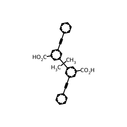 CC(C)(c1cc(C#Cc2ccccc2)cc(C(=O)O)c1)c1cc(C#Cc2ccccc2)cc(C(=O)O)c1